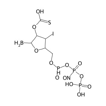 BC1OC(CO[PH](=O)OP(=O)(N=O)OP(=O)(O)O)C(I)C1OC(O)=S